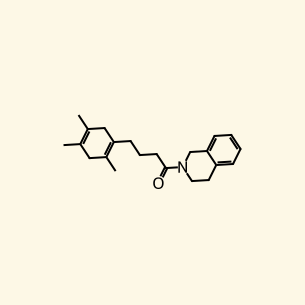 CC1=C(C)CC(CCCC(=O)N2CCc3ccccc3C2)=C(C)C1